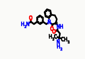 CC(C)(N)CC(=O)N[C@@H]1CCc2ccccc2N(Cc2cccc(CC(N)=O)c2)C1=O